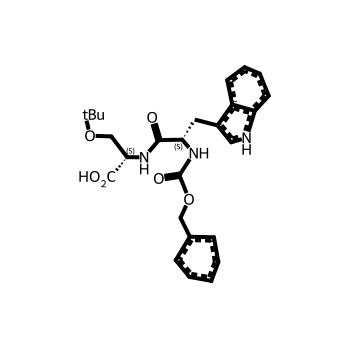 CC(C)(C)OC[C@H](NC(=O)[C@H](Cc1c[nH]c2ccccc12)NC(=O)OCc1ccccc1)C(=O)O